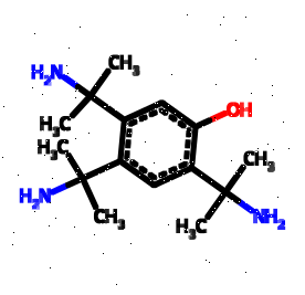 CC(C)(N)c1cc(C(C)(C)N)c(C(C)(C)N)cc1O